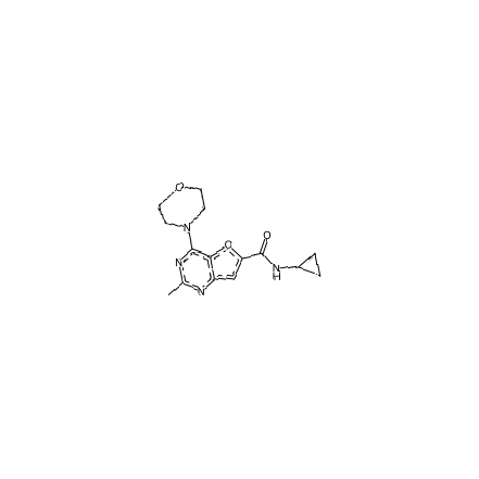 Cc1nc(N2CCOCC2)c2oc(C(=O)NC3CC3)cc2n1